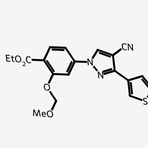 CCOC(=O)c1ccc(-n2cc(C#N)c(-c3ccsc3)n2)cc1OCOC